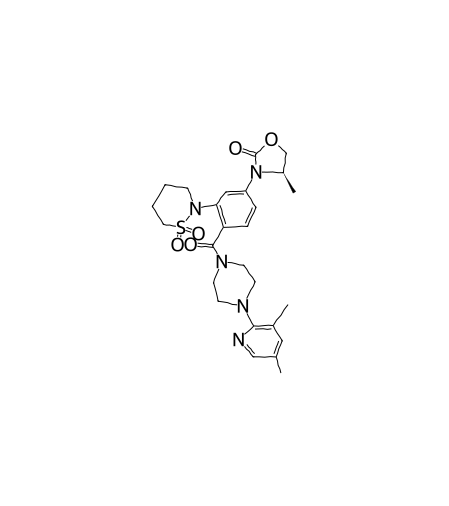 Cc1cnc(N2CCN(C(=O)c3ccc(N4C(=O)OC[C@H]4C)cc3N3CCCCS3(=O)=O)CC2)c(C)c1